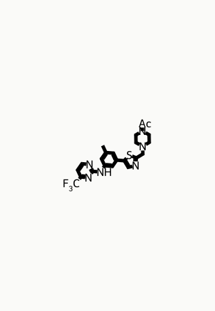 CC(=O)N1CCN(Cc2ncc(-c3cc(C)cc(Nc4nccc(C(F)(F)F)n4)c3)s2)CC1